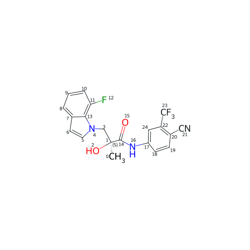 C[C@](O)(Cn1ccc2cccc(F)c21)C(=O)Nc1ccc(C#N)c(C(F)(F)F)c1